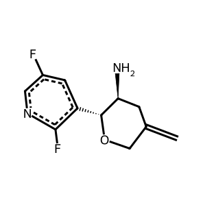 C=C1CO[C@H](c2cc(F)cnc2F)[C@@H](N)C1